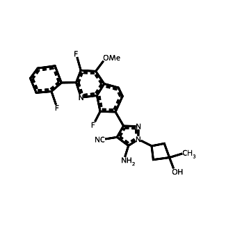 COc1c(F)c(-c2ccccc2F)nc2c(F)c(-c3nn(C4CC(C)(O)C4)c(N)c3C#N)ccc12